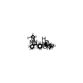 C[C@H]1CCN1c1nc2c(c(-c3cccc(NS(=O)(=O)c4cn(C)cn4)c3)n1)CCC2